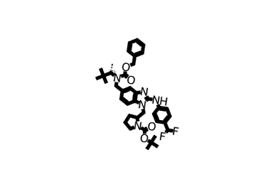 C[C@H](N(Cc1ccc2c(c1)nc(Nc1ccc(C(F)F)cc1)n2CC1CCCN1C(=O)OC(C)(C)C)C(=O)OCc1ccccc1)C(C)(C)C